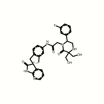 O=C(CN1C(=O)C(CO)(CO)NCC1c1cccc(F)c1)Nc1ccc2c(c1)C[C@@]1(C2)C(=O)Nc2ncccc21